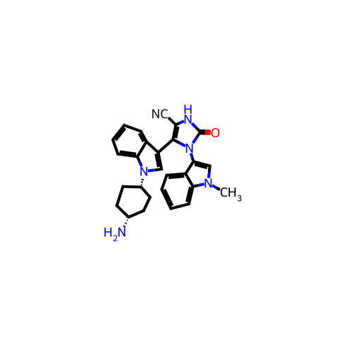 Cn1cc(-n2c(-c3cn([C@H]4CC[C@@H](N)CC4)c4ccccc34)c(C#N)[nH]c2=O)c2ccccc21